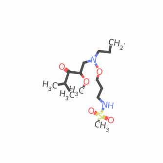 [CH2]CCN(CC(OC)C(=O)C(C)C)OCCCNS(C)(=O)=O